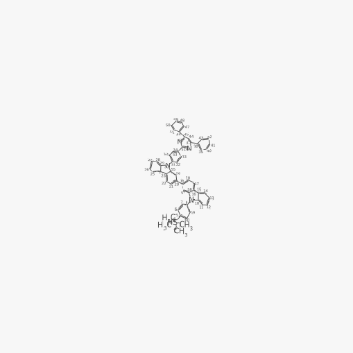 C[SH](C)(C)(C)c1ccc(-n2c3ccccc3c3ccc(-c4ccc5c6ccccc6n(-c6ccc(-c7nc(-c8ccccc8)cc(-c8ccccc8)n7)cc6)c5c4)cc32)cc1